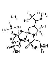 C=CC(C(C[N+](CC(CP(=O)(O)O)P(=O)(O)O)(CC(CP(=O)(O)O)P(=O)(O)O)CC(CP(=O)(O)O)P(=O)(O)O)P(=O)(O)O)P(=O)(O)O.N